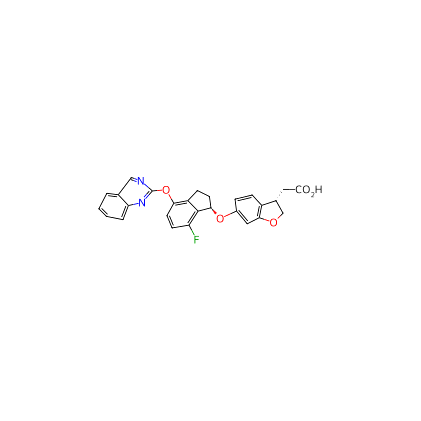 O=C(O)C[C@@H]1COc2cc(O[C@@H]3CCc4c(Oc5ncc6ccccc6n5)ccc(F)c43)ccc21